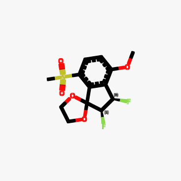 COc1ccc(S(C)(=O)=O)c2c1[C@@H](F)[C@@H](F)C21OCCO1